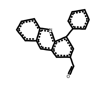 O=Cc1cc(-c2ccccc2)c2nc3ccccc3cc2c1